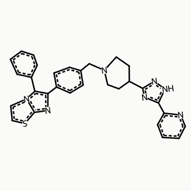 c1ccc(-c2c(-c3ccc(CN4CCC(c5n[nH]c(-c6ccccn6)n5)CC4)cc3)nc3sccn23)cc1